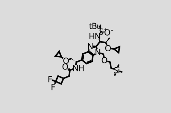 C[C@@H](OC1CC1)[C@H](N[S@+]([O-])C(C)(C)C)c1nc2cc([C@@H](COC3CC3)NC(=O)CC3CC(F)(F)C3)ccc2n1COCC[Si](C)(C)C